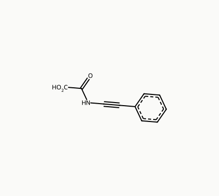 O=C(O)C(=O)NC#Cc1ccccc1